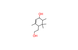 CC1=CC(O)C(C)C(C)(C)C1CCO